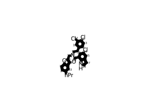 CCCc1ccc2oc(CN(CCc3ccc(Cl)c(Cl)c3)C(=O)c3cc(Cl)cc4cc[nH]c34)cc2c1